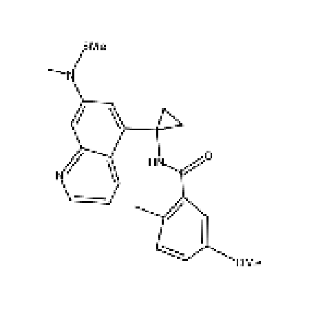 COc1ccc(C)c(C(=O)NC2(c3cc(N(C)SC)cc4ncccc34)CC2)c1